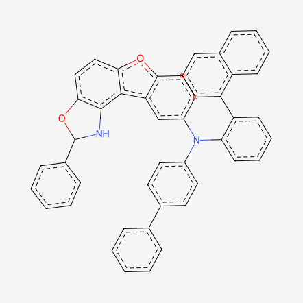 c1ccc(-c2ccc(N(c3ccc4oc5ccc6c(c5c4c3)NC(c3ccccc3)O6)c3ccccc3-c3cccc4ccccc34)cc2)cc1